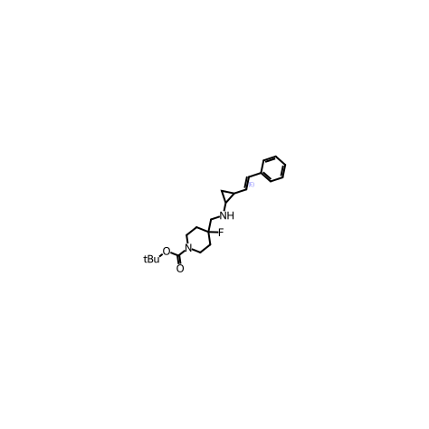 CC(C)(C)OC(=O)N1CCC(F)(CNC2CC2/C=C/c2ccccc2)CC1